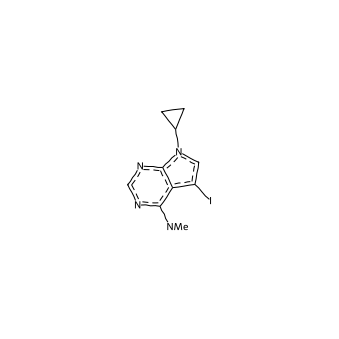 CNc1ncnc2c1c(I)cn2C1CC1